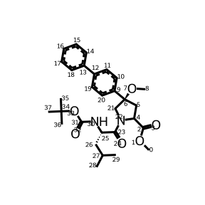 COC(=O)C1C[C@@](OC)(c2ccc(-c3ccccc3)cc2)CN1C(=O)[C@H](CC(C)C)NC(=O)OC(C)(C)C